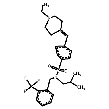 CSN1CCC(=Cc2ccc(S(=O)(=O)N(Cc3ccccc3C(F)(F)F)CC(C)C)cc2)CC1